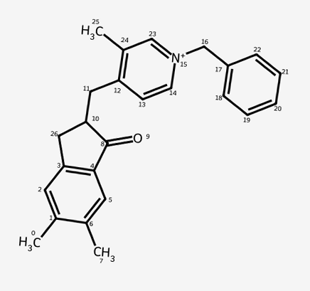 Cc1cc2c(cc1C)C(=O)C(Cc1cc[n+](Cc3ccccc3)cc1C)C2